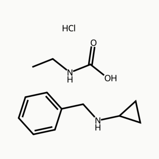 CCNC(=O)O.Cl.c1ccc(CNC2CC2)cc1